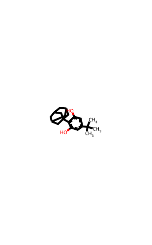 CC(C)(C)c1cc(O)c(C23CC4CC(CC(C4)C2)C3)c(O)c1